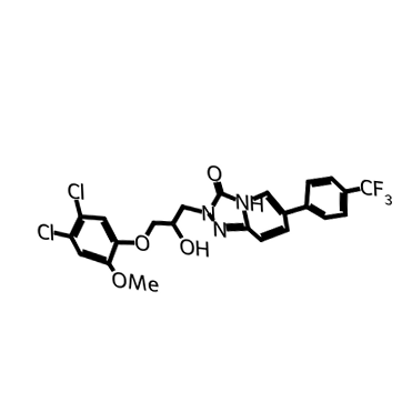 C/C=C(\C=C/c1nn(CC(O)COc2cc(Cl)c(Cl)cc2OC)c(=O)[nH]1)c1ccc(C(F)(F)F)cc1